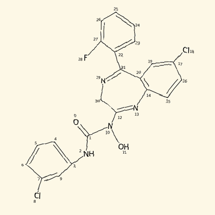 O=C(Nc1cccc(Cl)c1)N(O)C1=Nc2ccc(Cl)cc2C(c2ccccc2F)=NC1